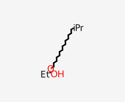 CCC(O)OCCCCCCCCCCCCCCC(C)C